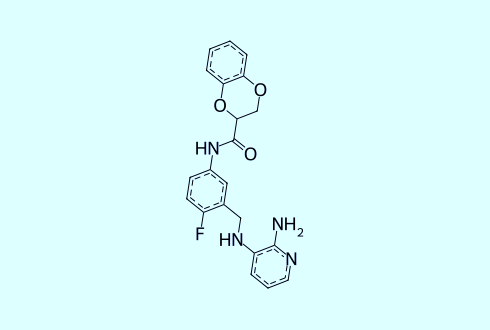 Nc1ncccc1NCc1cc(NC(=O)C2COc3ccccc3O2)ccc1F